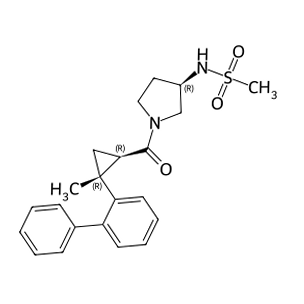 C[C@@]1(c2ccccc2-c2ccccc2)C[C@H]1C(=O)N1CC[C@@H](NS(C)(=O)=O)C1